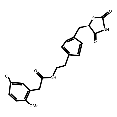 COc1ccc(Cl)cc1CC(=O)NCCc1ccc(C[C@H]2SC(=O)NC2=O)cc1